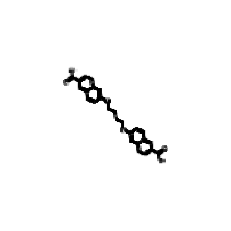 O=C(O)c1ccc2cc(OCCCCOc3ccc4cc(C(=O)O)ccc4c3)ccc2c1